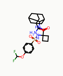 NC(=O)C12CC3CC(C1)C(NC(=O)C1(NS(=O)(=O)c4ccc(OC(F)F)cc4)CCC1)C(C3)C2